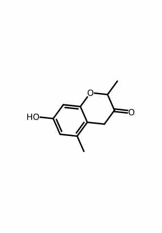 Cc1cc(O)cc2c1CC(=O)C(C)O2